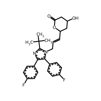 CC(C)(C)c1nc(-c2ccc(F)cc2)c(-c2ccc(F)cc2)n1C/C=C/C1CC(O)CC(=O)O1